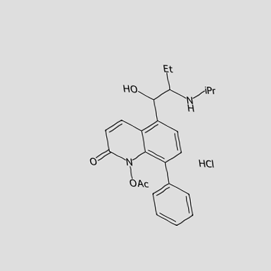 CCC(NC(C)C)C(O)c1ccc(-c2ccccc2)c2c1ccc(=O)n2OC(C)=O.Cl